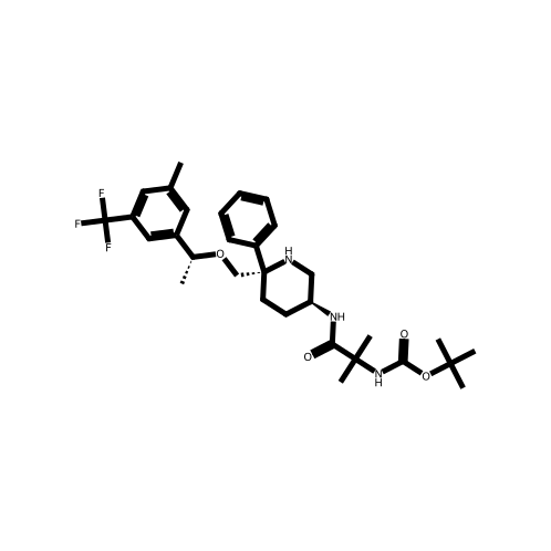 Cc1cc([C@@H](C)OC[C@@]2(c3ccccc3)CC[C@H](NC(=O)C(C)(C)NC(=O)OC(C)(C)C)CN2)cc(C(F)(F)F)c1